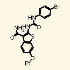 CCOc1ccc2c(C(N)=O)c(NC(=O)Nc3ccc(Br)cc3)sc2c1